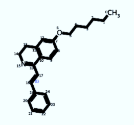 CCCCCCOc1ccc2c(c1)CCN=C2/C=C/c1ccccc1